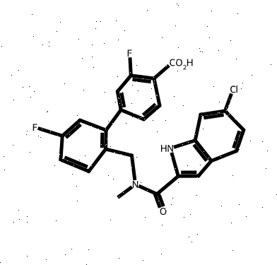 CN(Cc1ccc(F)cc1-c1ccc(C(=O)O)c(F)c1)C(=O)c1cc2ccc(Cl)cc2[nH]1